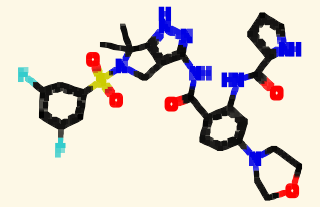 CC1(C)c2[nH]nc(NC(=O)c3ccc(N4CCOCC4)cc3NC(=O)c3ccc[nH]3)c2CN1S(=O)(=O)c1cc(F)cc(F)c1